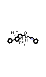 Cc1cc(C(=O)NC/C=C/c2ccccc2)nc2c(C(F)(F)F)cc(-c3ccccc3)cc12